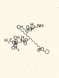 CCCCCCC(CCC(CCCCCCCC(=O)OCC1CCCCC1)COC(=O)NCCC[Si](OCC)(OCC)OCC)COC(=O)O[SiH2]CCC=N